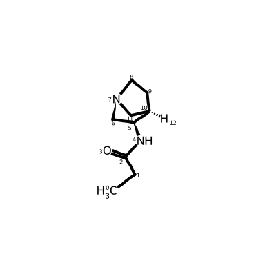 CCC(=O)N[C@H]1C[N@@]2CC[C@@H]1C2